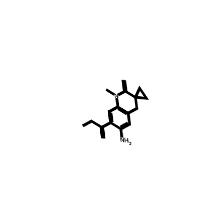 C=C(CC)c1cc2c(cc1N)CC1(CC1)C(=C)N2C